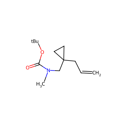 C=CCC1(CN(C)C(=O)OC(C)(C)C)CC1